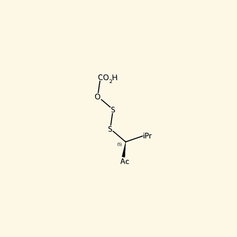 CC(=O)[C@@H](SSOC(=O)O)C(C)C